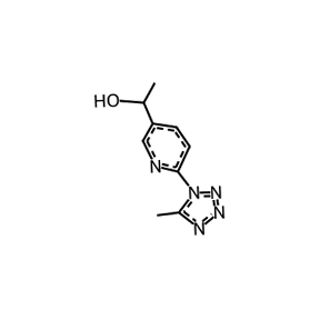 Cc1nnnn1-c1ccc(C(C)O)cn1